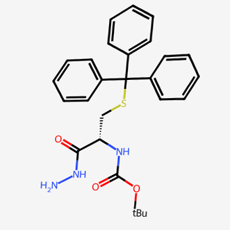 CC(C)(C)OC(=O)N[C@@H](CSC(c1ccccc1)(c1ccccc1)c1ccccc1)C(=O)NN